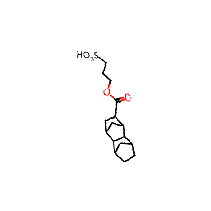 O=C(OCCCS(=O)(=O)O)C1CC2CC1C1C3CCC(C3)C21